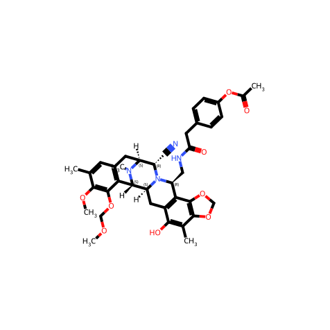 COCOc1c(OC)c(C)cc2c1[C@H]1[C@@H]3Cc4c(O)c(C)c5c(c4[C@H](CNC(=O)Cc4ccc(OC(C)=O)cc4)N3[C@@H](C#N)[C@H](C2)N1C)OCO5